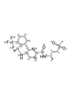 C[C@H](/C=C/S(C)(=O)=O)NC(=O)c1ncc(N[C@@H](C)c2ccccc2C(F)(F)F)cn1